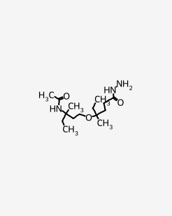 CCC(C)(CCOC(C)(CC)CCC(=O)NN)NC(C)=O